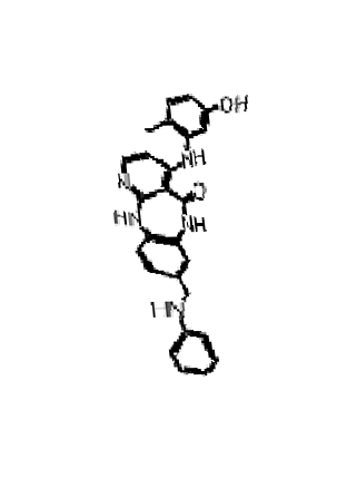 Cc1ccc(O)cc1Nc1ccnc2c1C(=O)Nc1cc(CNc3ccccc3)ccc1N2